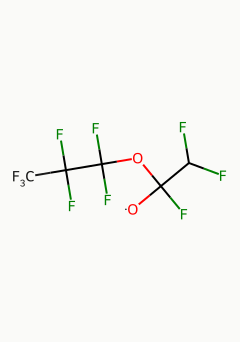 [O]C(F)(OC(F)(F)C(F)(F)C(F)(F)F)C(F)F